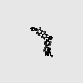 CC(C)(C)c1ccc(-c2ccc(C(=O)N3CCC(c4ccc(N)nn4)CC3)cc2)cc1